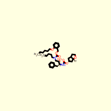 C=CCCCCOc1ccccc1COC(=O)N(CCCC=C)C[C@@H](O)[C@H](Cc1ccccc1)NC(=O)O[C@@H]1CC2CCO[C@@H]2C1